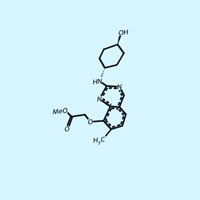 COC(=O)COc1c(C)ccc2cnc(N[C@H]3CC[C@H](O)CC3)nc12